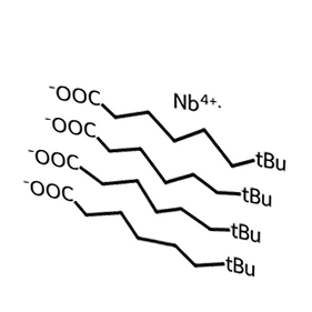 CC(C)(C)CCCCCC(=O)[O-].CC(C)(C)CCCCCC(=O)[O-].CC(C)(C)CCCCCC(=O)[O-].CC(C)(C)CCCCCC(=O)[O-].[Nb+4]